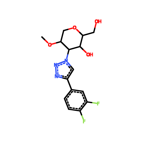 COC1COC(CO)C(O)C1n1cc(-c2ccc(F)c(F)c2)nn1